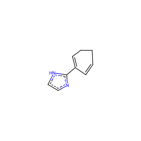 C1=CC(c2ncc[nH]2)=CCC1